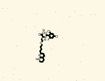 O=C(N[C@@H](CCOCCCCc1ccc2c(n1)NCCC2)C(=O)O)c1c(F)cc(Cl)cc1Cl